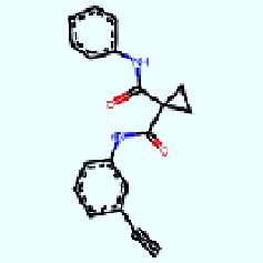 C#Cc1cccc(NC(=O)C2(C(=O)Nc3ccccc3)CC2)c1